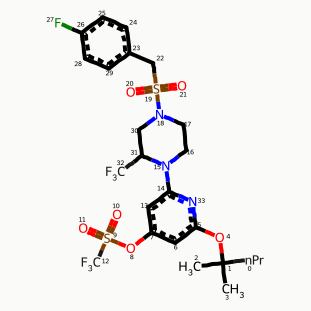 CCCC(C)(C)Oc1cc(OS(=O)(=O)C(F)(F)F)cc(N2CCN(S(=O)(=O)Cc3ccc(F)cc3)CC2C(F)(F)F)n1